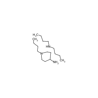 CCCCN1CCC(N)CC1.CCCCNCCCC